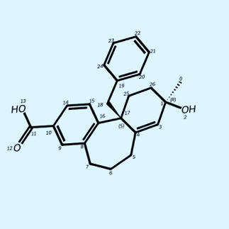 C[C@]1(O)C=C2CCCc3cc(C(=O)O)ccc3[C@]2(Cc2ccccc2)CC1